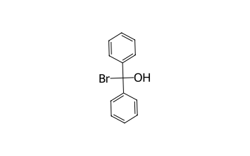 OC(Br)(c1ccccc1)c1ccccc1